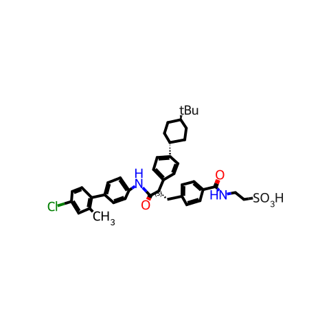 Cc1cc(Cl)ccc1-c1ccc(NC(=O)[C@@H](Cc2ccc(C(=O)NCCS(=O)(=O)O)cc2)c2ccc([C@H]3CC[C@H](C(C)(C)C)CC3)cc2)cc1